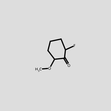 COC1CCCC(F)C1=O